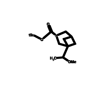 COC(C)C12CC(CN(C(=O)OC(C)(C)C)C1)C2